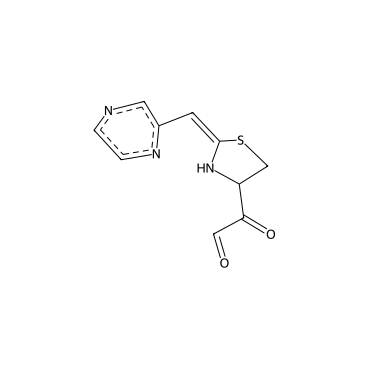 O=CC(=O)C1CSC(=Cc2cnccn2)N1